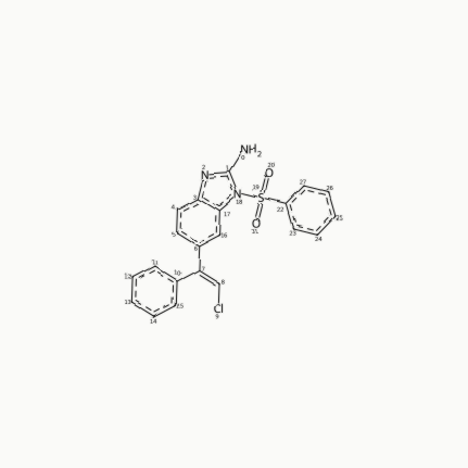 Nc1nc2ccc(C(=CCl)c3ccccc3)cc2n1S(=O)(=O)c1ccccc1